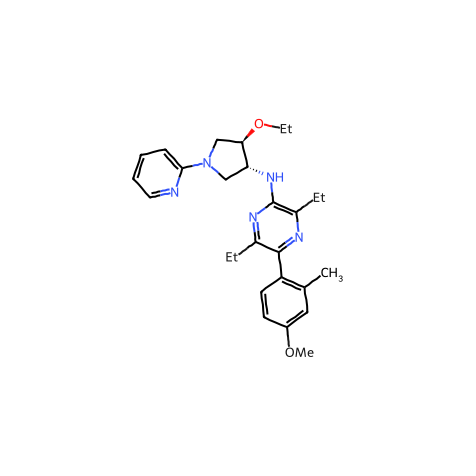 CCO[C@@H]1CN(c2ccccn2)C[C@H]1Nc1nc(CC)c(-c2ccc(OC)cc2C)nc1CC